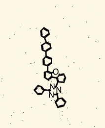 c1ccc(-c2ccc(-c3ccc(-c4cccc5c4oc4cccc(-c6nc(-c7ccccc7)nc(-c7ccccc7)n6)c45)cc3)cc2)cc1